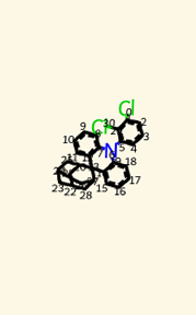 Clc1cccc(N2c3ccccc3C3(c4ccccc42)C2CC4CC(C2)CC3C4)c1Cl